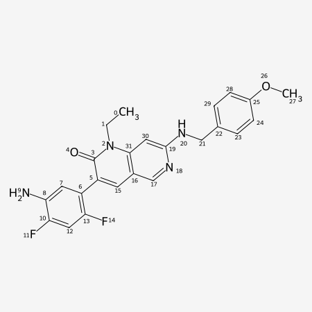 CCn1c(=O)c(-c2cc(N)c(F)cc2F)cc2cnc(NCc3ccc(OC)cc3)cc21